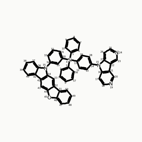 c1ccc([Si](c2ccccc2)(c2ccc(-n3c4ccncc4c4cnccc43)cc2)c2cccc(-n3c4ccccc4c4cc5oc6ccccc6c5cc43)c2)cc1